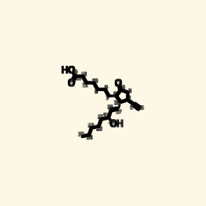 C#CC1CC(=O)[C@H](CCCCCCC(=O)O)[C@H]1C=C[C@H](O)CCCCC